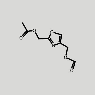 CC(=O)OCc1nc(COC=O)co1